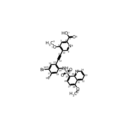 COc1cc(C(=O)O)ncc1C#Cc1cc(Br)c(F)cc1NS(=O)(=O)c1ccc(OC)c2cccnc12